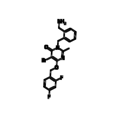 Cc1nc(OCc2ccc(F)cc2F)c(Br)c(=O)n1Cc1ccccc1CN